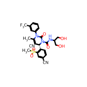 [C-]#[N+]C1=C(C)N(c2cccc(C(F)(F)F)c2)C(=O)N(C(=O)NC(CO)CO)[C@@H]1c1ccc(C#N)cc1S(C)(=O)=O